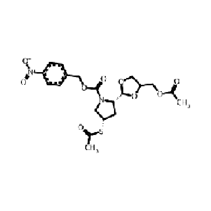 CC(=O)OCC1COC([C@@H]2C[C@H](SC(C)=O)CN2C(=O)OCc2ccc([N+](=O)[O-])cc2)O1